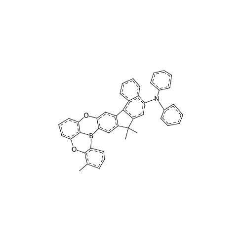 Cc1cccc2c1Oc1cccc3c1B2c1cc2c(cc1O3)-c1c(cc(N(c3ccccc3)c3ccccc3)c3ccccc13)C2(C)C